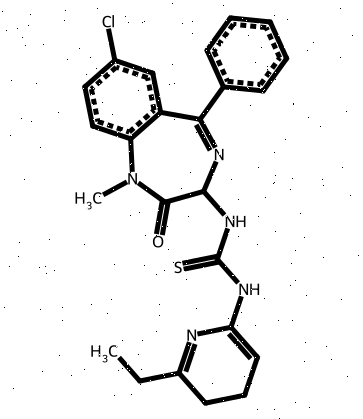 CCC1=NC(NC(=S)NC2N=C(c3ccccc3)c3cc(Cl)ccc3N(C)C2=O)=CCC1